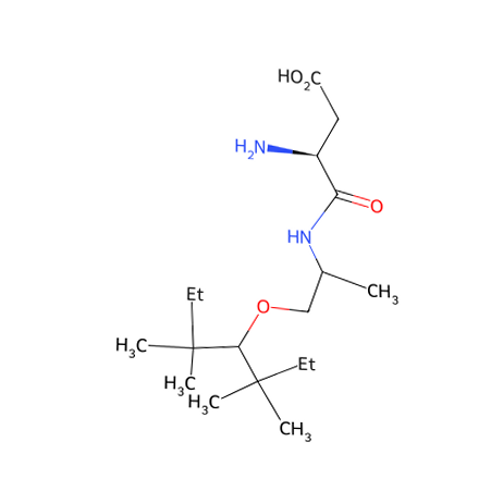 CCC(C)(C)C(OCC(C)NC(=O)[C@@H](N)CC(=O)O)C(C)(C)CC